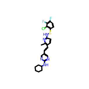 Cc1nc(NSc2ccc(F)c(F)c2Cl)ccc1/C=C/c1cnc(NC2CCCCC2)nc1